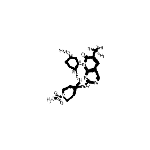 [2H]C1(Nc2ncc3cc(C([2H])([2H])[2H])c(=O)n([C@H]4C[C@H](O)CC[C@@H]4F)c3n2)CCN(S(C)(=O)=O)CC1